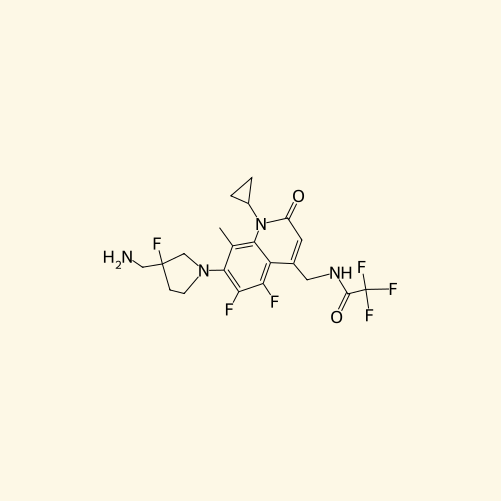 Cc1c(N2CCC(F)(CN)C2)c(F)c(F)c2c(CNC(=O)C(F)(F)F)cc(=O)n(C3CC3)c12